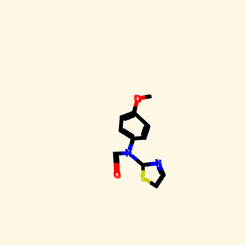 COc1ccc(N(C=O)C2N=CCS2)cc1